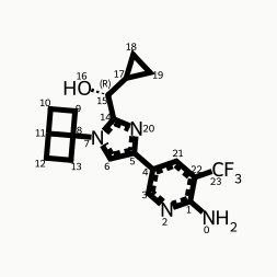 Nc1ncc(-c2cn(C34CCC3CC4)c([C@H](O)C3CC3)n2)cc1C(F)(F)F